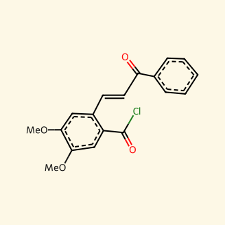 COc1cc(C=CC(=O)c2ccccc2)c(C(=O)Cl)cc1OC